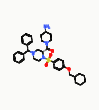 NC1CCN(C(=O)[C@H]2CN(C(c3ccccc3)c3ccccc3)CCN2S(=O)(=O)c2ccc(OCC3CCCCC3)cc2)CC1